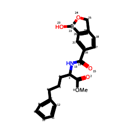 COC(=O)C(CCCc1ccccc1)NC(=O)c1ccc2c(c1)B(O)OC2